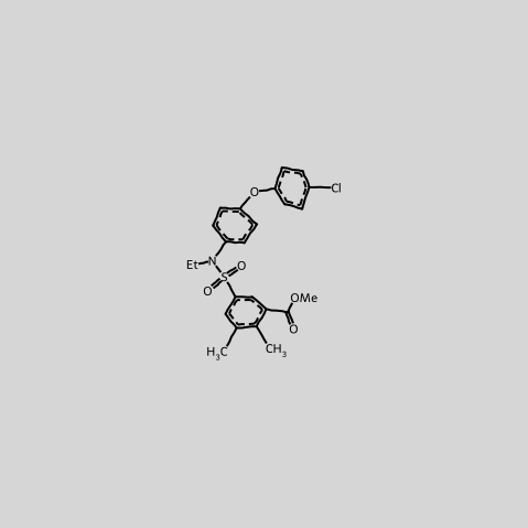 CCN(c1ccc(Oc2ccc(Cl)cc2)cc1)S(=O)(=O)c1cc(C)c(C)c(C(=O)OC)c1